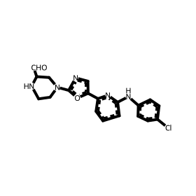 O=CC1CN(c2ncc(-c3cccc(Nc4ccc(Cl)cc4)n3)o2)CCN1